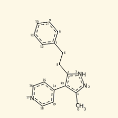 Cc1n[nH]c(CCc2ccccc2)c1-c1ccncc1